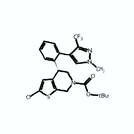 Cn1cc(-c2ccccc2[C@@H]2CN(C(=O)OC(C)(C)C)Cc3sc(Cl)cc32)c(C(F)(F)F)n1